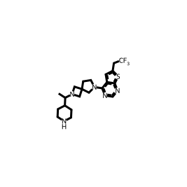 CC(C1CCNCC1)N1CC2(CCN(c3ncnc4sc(CC(F)(F)F)cc34)C2)C1